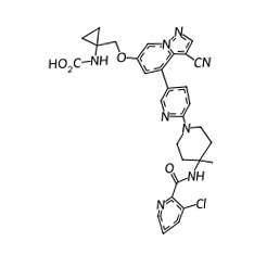 CC1(NC(=O)c2ncccc2Cl)CCN(c2ccc(-c3cc(OCC4(NC(=O)O)CC4)cn4ncc(C#N)c34)cn2)CC1